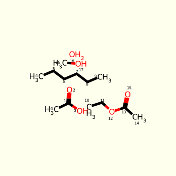 CC(=O)O.CCCCCC.CCOC(C)=O.CO.O